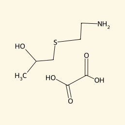 CC(O)CSCCN.O=C(O)C(=O)O